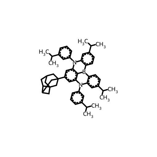 CC(C)c1cccc(N2c3cc(C(C)C)ccc3B3c4ccc(C(C)C)cc4N(c4cccc(C(C)C)c4)c4cc(C56CC7CC8C(C5)CC8(C7)C6)cc2c43)c1